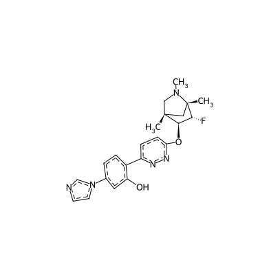 CN1C[C@]2(C)C[C@@]1(C)[C@H](F)[C@H]2Oc1ccc(-c2ccc(-n3ccnc3)cc2O)nn1